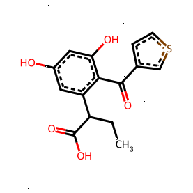 CCC(C(=O)O)c1cc(O)cc(O)c1C(=O)c1ccsc1